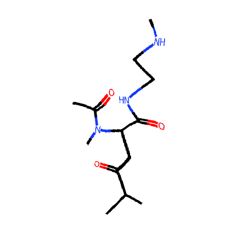 CNCCNC(=O)C(CC(=O)C(C)C)N(C)C(C)=O